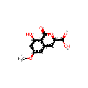 COc1cc(O)c2c(=O)oc(C(=O)O)cc2c1